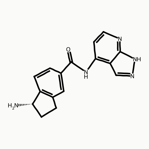 N[C@H]1CCc2cc(C(=O)Nc3ccnc4[nH]ncc34)ccc21